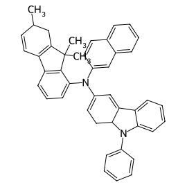 CC1C=CC2=C(C1)C(C)(C)c1c2cccc1N(C1=CCC2C(=C1)c1ccccc1N2c1ccccc1)c1ccc2ccccc2c1